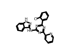 Clc1ccccc1-c1nc(Nc2n[nH]c3ccccc23)nc(-c2ccccn2)n1